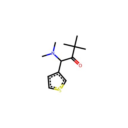 CN(C)C(C(=O)C(C)(C)C)c1ccsc1